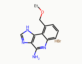 Br.CCOCc1cccc2nc(N)c3nc[nH]c3c12